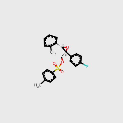 Cc1ccc(S(=O)(=O)OC[C@@]2(c3ccc(F)cc3)O[C@H]2c2ccccc2C(F)(F)F)cc1